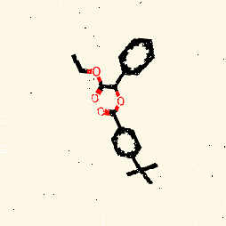 CCOC(=O)C(OC(=O)c1ccc(C(C)(C)C)cc1)c1ccccc1